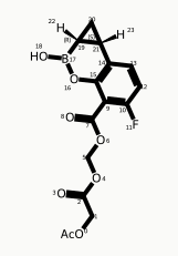 CC(=O)OCC(=O)OCOC(=O)c1c(F)ccc2c1OB(O)[C@@H]1C[C@H]21